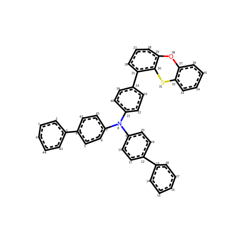 c1ccc(-c2ccc(N(c3ccc(-c4ccccc4)cc3)c3ccc(-c4cccc5c4Sc4ccccc4O5)cc3)cc2)cc1